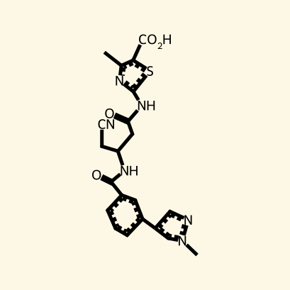 Cc1nc(NC(=O)CC(CC#N)NC(=O)c2cccc(-c3cnn(C)c3)c2)sc1C(=O)O